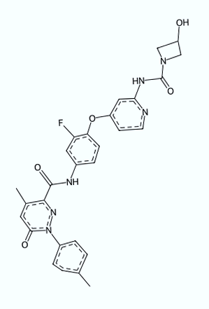 Cc1ccc(-n2nc(C(=O)Nc3ccc(Oc4ccnc(NC(=O)N5CC(O)C5)c4)c(F)c3)c(C)cc2=O)cc1